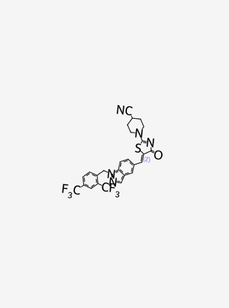 N#CC1CCN(C2=NC(=O)/C(=C/c3ccc4c(cnn4Cc4ccc(C(F)(F)F)cc4C(F)(F)F)c3)S2)CC1